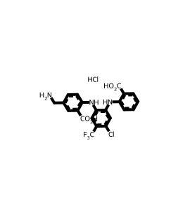 Cl.NCc1ccc(Nc2cc(C(F)(F)F)c(Cl)cc2Nc2ccccc2C(=O)O)c(C(=O)O)c1